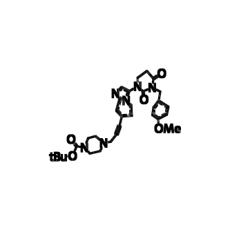 COc1ccc(CN2C(=O)CCN(c3cnc4cc(C#CCN5CCN(C(=O)OC(C)(C)C)CC5)ccn34)C2=O)cc1